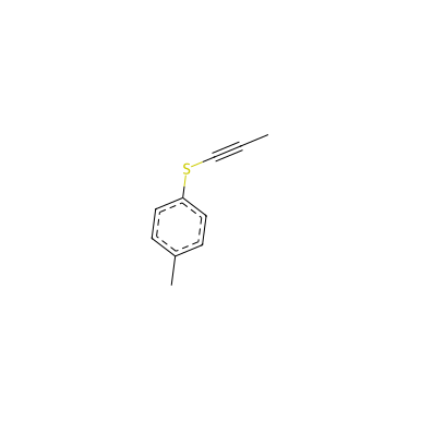 CC#CSc1ccc(C)cc1